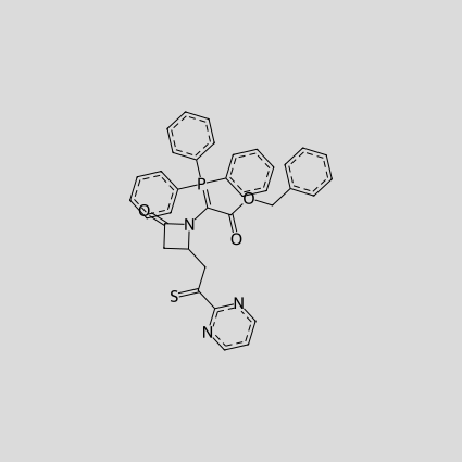 O=C(OCc1ccccc1)C(N1C(=O)CC1CC(=S)c1ncccn1)=P(c1ccccc1)(c1ccccc1)c1ccccc1